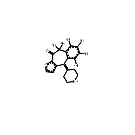 [2H]c1c([2H])c([2H])c2c(c1[2H])C(=C1CCNCC1)c1ccsc1C(=O)C2([2H])[2H]